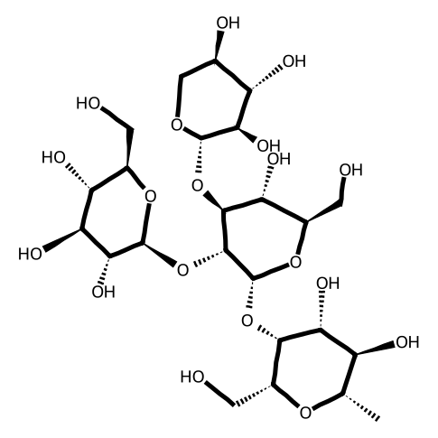 C[C@@H]1O[C@H](CO)[C@H](O[C@H]2O[C@H](CO)[C@@H](O)[C@H](O[C@@H]3OC[C@@H](O)[C@H](O)[C@H]3O)[C@H]2O[C@@H]2O[C@H](CO)[C@@H](O)[C@H](O)[C@H]2O)[C@H](O)[C@H]1O